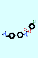 CN(C)Cc1ccc([C@H]2CC[C@H](N(C)C(=O)Oc3ccc(Cl)cc3)CC2)cc1